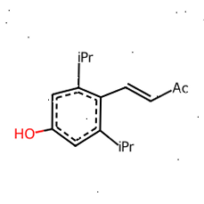 CC(=O)/C=C/c1c(C(C)C)cc(O)cc1C(C)C